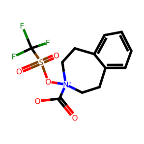 O=C([O-])[N+]1(OS(=O)(=O)C(F)(F)F)CCc2ccccc2CC1